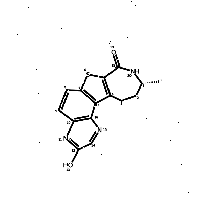 C[C@@H]1CCc2c(sc3ccc4nc(O)cnc4c23)C(=O)N1